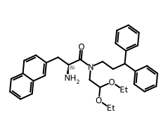 CCOC(CN(CCC(c1ccccc1)c1ccccc1)C(=O)[C@@H](N)Cc1ccc2ccccc2c1)OCC